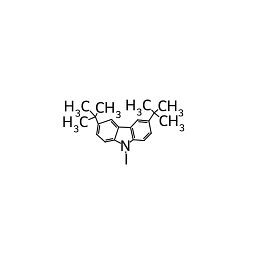 CC(C)(C)c1ccc2c(c1)c1cc(C(C)(C)C)ccc1n2I